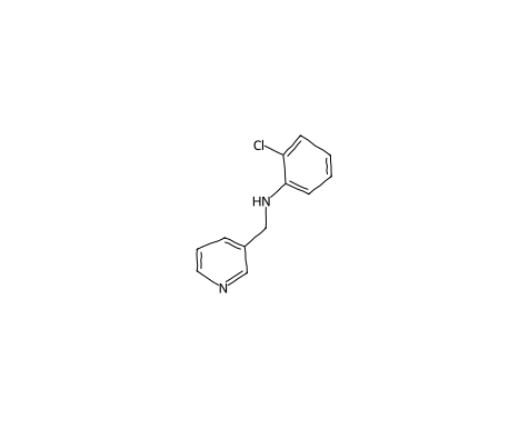 Clc1ccccc1NCc1cccnc1